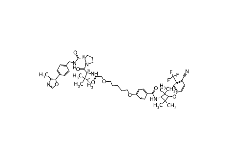 Cc1ncoc1-c1ccc(CNC(=O)[C@@H]2CCCN2C(=O)[C@@H](NC(=O)COCCCCCOc2ccc(C(=O)N[C@H]3C(C)(C)[C@H](Oc4ccc(C#N)c(C(F)(F)F)c4)C3(C)C)cc2)C(C)(C)C)cc1